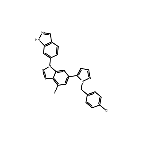 Fc1cc(-c2ccnn2Cc2ccc(Cl)cn2)cc2c1nnn2-c1ccc2cn[nH]c2c1